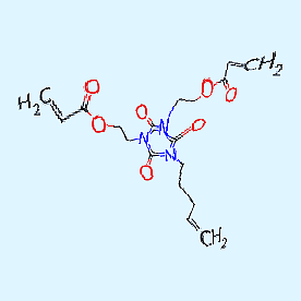 C=CCCCn1c(=O)n(CCOC(=O)C=C)c(=O)n(CCOC(=O)C=C)c1=O